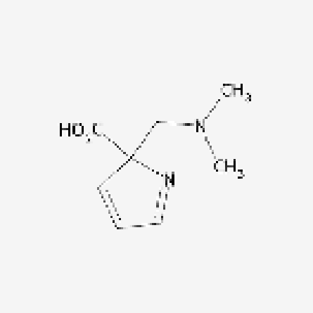 CN(C)CC1(C(=O)O)C=CC=N1